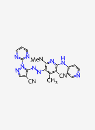 CNc1nc(Nc2ccncc2)c(C#N)c(C)c1/N=N/c1c(C#N)cnn1-c1ncccn1